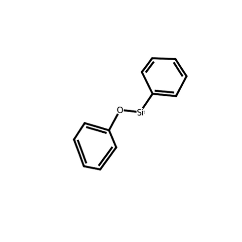 c1ccc(O[Si]c2ccccc2)cc1